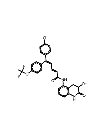 O=C(/C=C/C=C(/c1ccc(Cl)cc1)c1ccc(OC(F)(F)F)cc1)Nc1cccc2c1CC(O)C(=O)N2